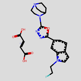 FCCn1ccc2ccc(-c3nnc(N4CCN5CCC4CC5)o3)cc21.O=C(O)/C=C/C(=O)O